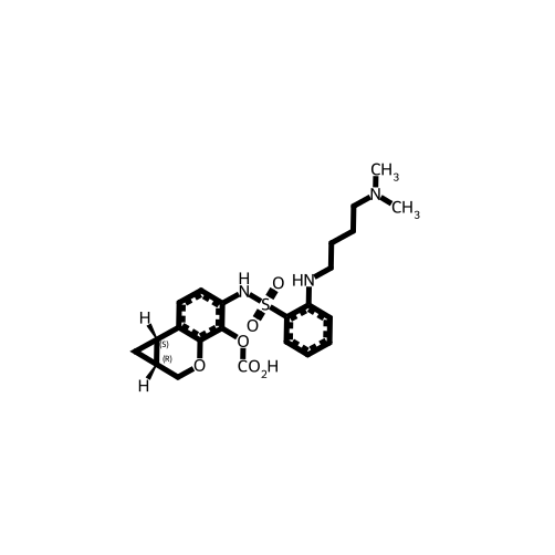 CN(C)CCCCNc1ccccc1S(=O)(=O)Nc1ccc2c(c1OC(=O)O)OC[C@@H]1C[C@H]21